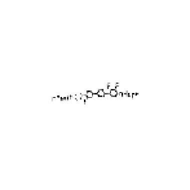 CCCCCCCc1ccc(-c2ccc(-c3ccc(C4CCC(CCCCC)CC4)c(F)c3)cc2)c(F)c1F